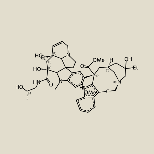 CCC1(O)C[C@H]2C[N@](CCc3c([nH]c4ccccc34)[C@@](C(=O)OC)(c3cc4c(cc3OC)N(C)C3C45CCN4CC=C[C@](CC)(C45)[C@@H](O)[C@]3(O)C(=O)NC[C@H](C)O)C2)C1